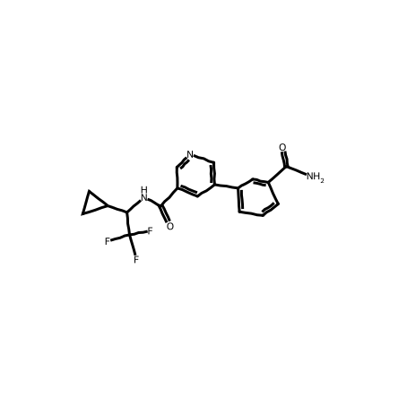 NC(=O)c1cccc(-c2cncc(C(=O)NC(C3CC3)C(F)(F)F)c2)c1